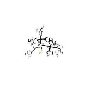 CC[Si](F)(C(C)(C)C)C(C)(C)C